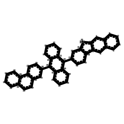 c1ccc2cc3c(cc2c1)[nH]c1cc(-c2c4ccccc4c(-c4ccc5c(ccc6ccccc65)c4)c4ccccc24)ccc13